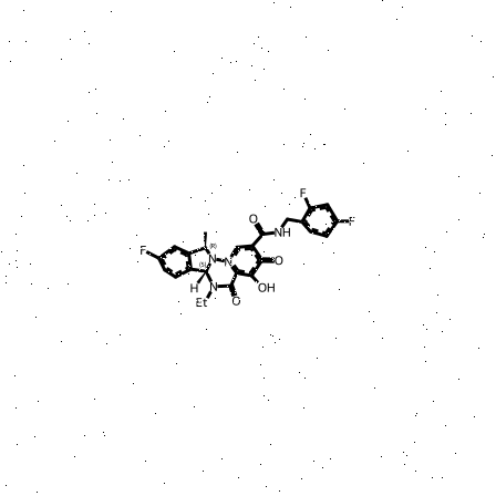 CCN1C(=O)c2c(O)c(=O)c(C(=O)NCc3ccc(F)cc3F)cn2N2[C@H](C)c3cc(F)ccc3[C@@H]12